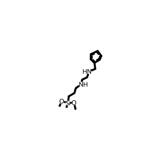 CO[Si](C)(CCCNCCNCc1ccccc1)OC